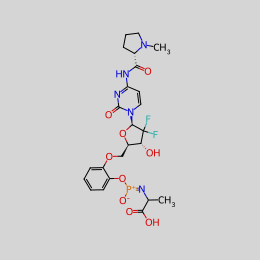 CC(/N=[P+](\[O-])Oc1ccccc1OC[C@H]1O[C@@H](n2ccc(NC(=O)[C@@H]3CCCN3C)nc2=O)C(F)(F)[C@@H]1O)C(=O)O